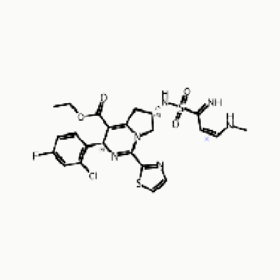 CCOC(=O)C1=C2C[C@H](NS(=O)(=O)C(=N)/C=C\NC)CN2C(c2nccs2)=N[C@H]1c1ccc(F)cc1Cl